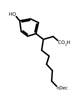 CCCCCCCCCCCCCCCC(CC(=O)O)c1ccc(O)cc1